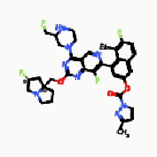 CCc1c(F)ccc2cc(OC(=O)n3ccc(C)n3)cc(-c3ncc4c(N5CCNC(CF)C5)nc(OC[C@@]56CCCN5C[C@H](F)C6)nc4c3F)c12